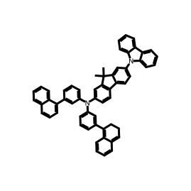 CC1(C)c2cc(N(c3cccc(C4=c5ccccc5=CCC4)c3)c3cccc(-c4cccc5ccccc45)c3)ccc2-c2ccc(-n3c4ccccc4c4ccccc43)cc21